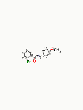 COc1ccc(/C=C/C(=O)c2ccccc2Br)cc1